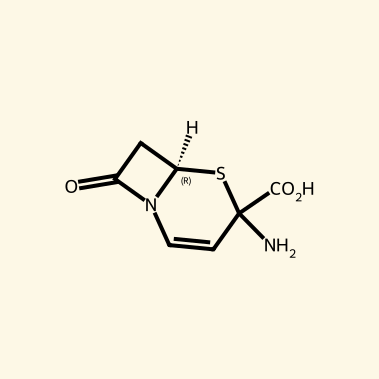 NC1(C(=O)O)C=CN2C(=O)C[C@H]2S1